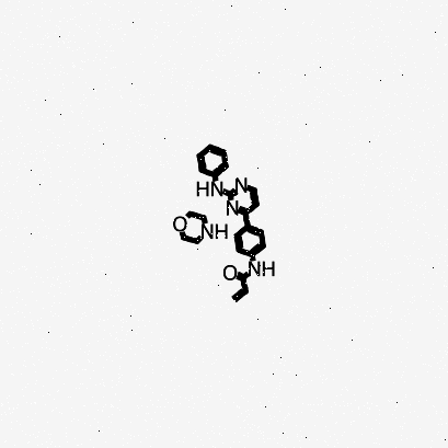 C1COCCN1.C=CC(=O)Nc1ccc(-c2ccnc(Nc3ccccc3)n2)cc1